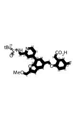 COCc1cc2cc(COc3ccc(F)cc3CC(=O)O)cc(-c3ccnc(CN[S+]([O-])C(C)(C)C)c3)c2o1